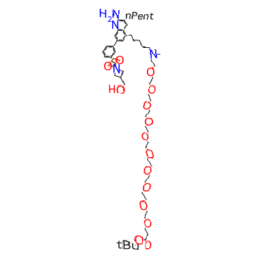 CCCCCc1cc2c(CCCCCN(C)CCOCCOCCOCCOCCOCCOCCOCCOCCOCCOCCC(=O)OC(C)(C)C)cc(-c3cccc(S(=O)(=O)N4CC(CO)C4)c3)cc2nc1N